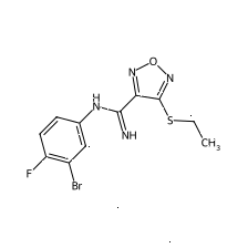 CCSc1nonc1C(=N)Nc1ccc(F)c(Br)c1